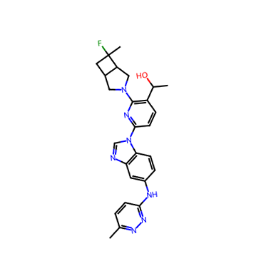 Cc1ccc(Nc2ccc3c(c2)ncn3-c2ccc(C(C)O)c(N3CC4CC(C)(F)C4C3)n2)nn1